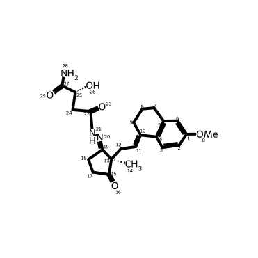 COc1ccc2c(c1)CCC/C2=C\C[C@@]1(C)C(=O)CC/C1=N\NC(=O)C[C@@H](O)C(N)=O